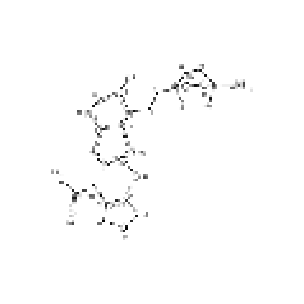 NC12CCC(CCc3c(F)cnc4ccc(O[C@@H]5COC[C@H]5NC(=O)O)nc34)(CC1)OC2